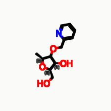 C[C@@H]1O[C@H](CO)[C@H](O)C1OCc1ccccn1